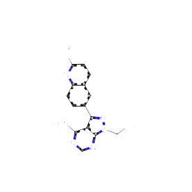 CCOc1ccc2cc(-c3nn(CC(C)(C)C)c4ncnc(N)c34)ccc2n1